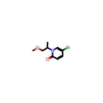 COCC(C)n1cc(Br)ccc1=O